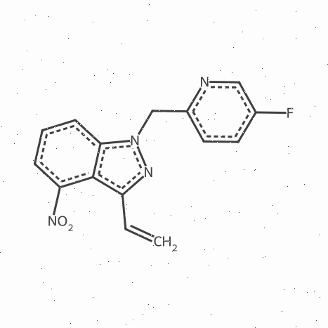 C=Cc1nn(Cc2ccc(F)cn2)c2cccc([N+](=O)[O-])c12